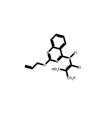 C=CCOc1nc(N(CC)C(CC)=C(C(=O)O)C(=O)O)c2ccccc2n1